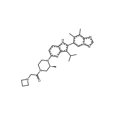 Cc1c(-c2[nH]c3ccc(N4CCN(C(=O)CN5CCC5)C[C@@H]4C)nc3c2C(C)C)cn2ncnc2c1C